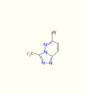 CC(C)c1ccc2nnc(C(F)(F)F)n2n1